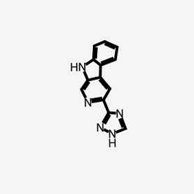 c1ccc2c(c1)[nH]c1cnc(-c3nc[nH]n3)cc12